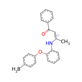 Bc1ccc(Oc2ccccc2N/C(C)=C\C(=O)c2ccccc2)cc1